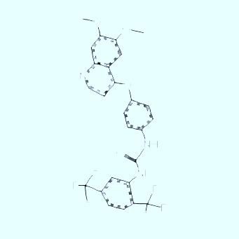 COc1cc2nccc(Oc3ccc(NC(=O)Nc4cc(C(F)(F)F)ccc4C(F)(F)F)cc3)c2cc1OC